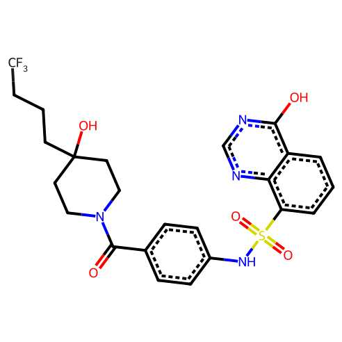 O=C(c1ccc(NS(=O)(=O)c2cccc3c(O)ncnc23)cc1)N1CCC(O)(CCCC(F)(F)F)CC1